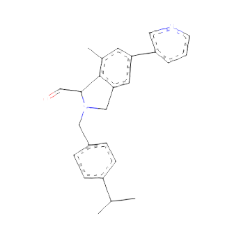 Cc1cc(-c2cccnc2)cc2c1C(C=O)N(Cc1ccc(C(C)C)cc1)C2